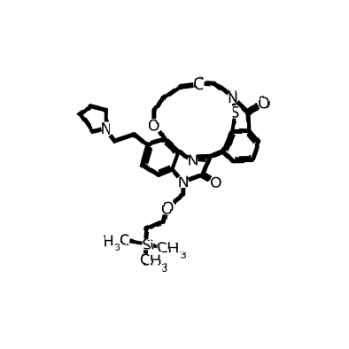 C[Si](C)(C)CCOCn1c(=O)c2nc3c(c(CCN4CCCC4)ccc31)OCCCCCn1sc3c-2cccc3c1=O